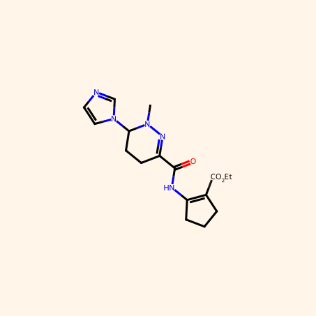 CCOC(=O)C1=C(NC(=O)C2=NN(C)C(n3ccnc3)CC2)CCC1